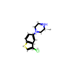 C[C@@H]1CN(c2ccc3scc(Cl)c3c2)CCN1